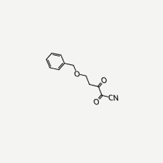 N#CC(=O)C(=O)CCOCc1ccccc1